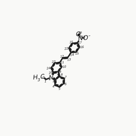 CCn1c2ccccc2c2cc(C=Cc3ccc([N+](=O)[O-])cc3)ccc21